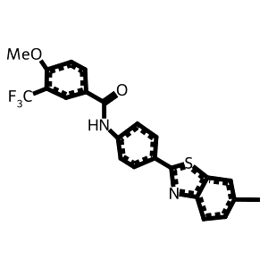 COc1ccc(C(=O)Nc2ccc(-c3nc4ccc(C)cc4s3)cc2)cc1C(F)(F)F